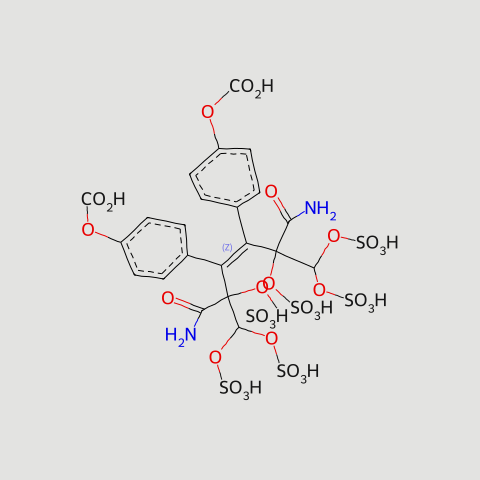 NC(=O)C(OS(=O)(=O)O)(/C(=C(/c1ccc(OC(=O)O)cc1)C(OS(=O)(=O)O)(C(N)=O)C(OS(=O)(=O)O)OS(=O)(=O)O)c1ccc(OC(=O)O)cc1)C(OS(=O)(=O)O)OS(=O)(=O)O